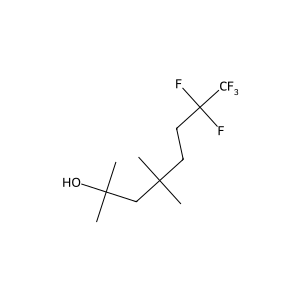 CC(C)(O)CC(C)(C)CCC(F)(F)C(F)(F)F